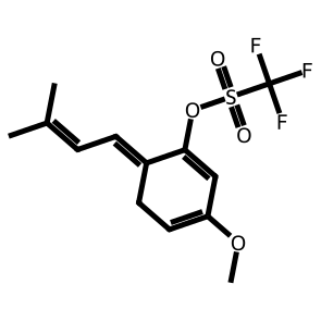 COC1=CC/C(=C\C=C(C)C)C(OS(=O)(=O)C(F)(F)F)=C1